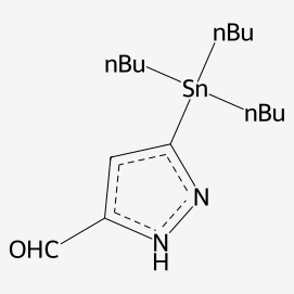 CCC[CH2][Sn]([CH2]CCC)([CH2]CCC)[c]1cc(C=O)[nH]n1